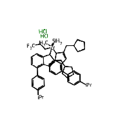 CC(C)c1ccc(-c2cccc3c2C=C(CC2CCCC2)[CH]3[Zr]([CH3])(=[SiH2])([CH2]CC(F)(F)F)[CH]2C(CC3CCCC3)=Cc3c(-c4ccc(C(C)C)cc4)cccc32)cc1.Cl.Cl